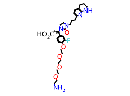 NCCOCCOCCOCCOc1ccc([C@@H](CC(=O)O)N2CCN(CCCc3ccc4c(n3)NCCC4)C2=O)cc1F